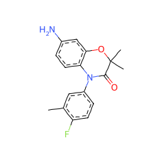 Cc1cc(N2C(=O)C(C)(C)Oc3cc(N)ccc32)ccc1F